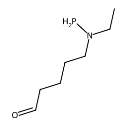 CCN(P)CCCCC=O